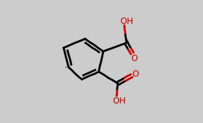 O=C(O)c1c[c]ccc1C(=O)O